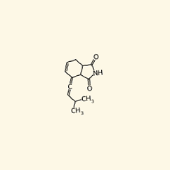 CC(C)C=C=C1C=CCC2C(=O)NC(=O)C12